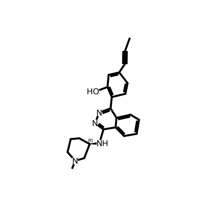 CC#Cc1ccc(-c2nnc(N[C@@H]3CCCN(C)C3)c3ccccc23)c(O)c1